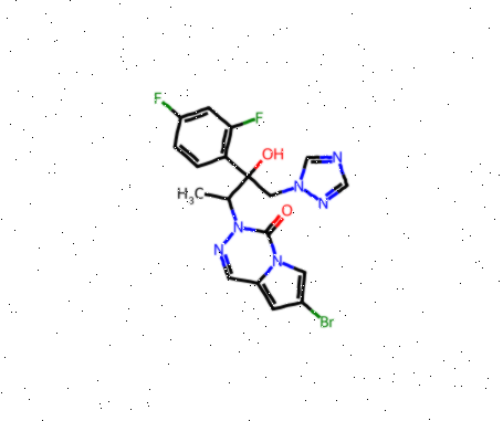 CC(n1ncc2cc(Br)cn2c1=O)C(O)(Cn1cncn1)c1ccc(F)cc1F